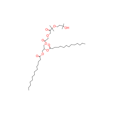 CCCCCCCCCCCCCC(=O)OCC(COC(=O)COCC(=O)C(C)(C)OCCC(C)(C)O)OC(=O)CCCCCCCCCCCCC